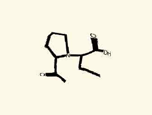 CCC(C(=O)O)N1CCCC1C(C)=O